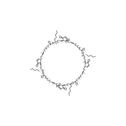 CCCCC[C@H]1C/C=C2/C(=O)C=C[C@@H]2C/C=C\CCCC(=O)O[C@H](CCCCC)C/C=C2/C(=O)C=CC2C/C=C\CCCC(=O)O[C@@H](CCCCC)C/C=C2/C(=O)C=C[C@@H]2C/C=C\CCCC(=O)O[C@H](CCCCC)C/C=C2/C(=O)C=CC2C/C=C\CCCC(=O)O1